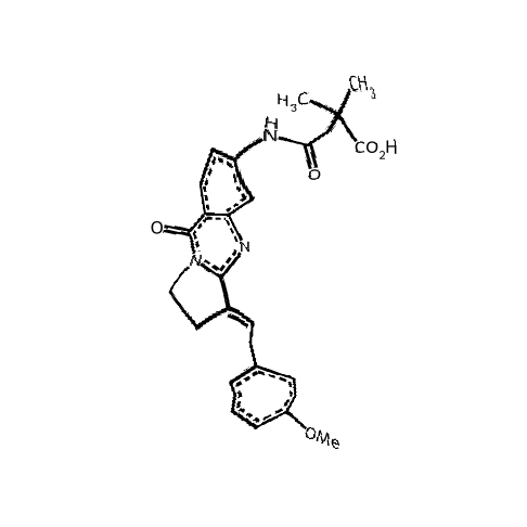 COc1cccc(C=C2CCn3c2nc2cc(NC(=O)C(C)(C)C(=O)O)ccc2c3=O)c1